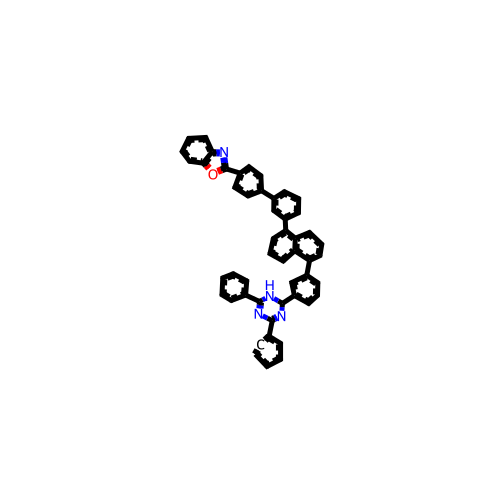 c1ccc(C2=NC(c3cccc(-c4cccc5c(-c6cccc(-c7ccc(-c8nc9ccccc9o8)cc7)c6)cccc45)c3)NC(c3ccccc3)=N2)cc1